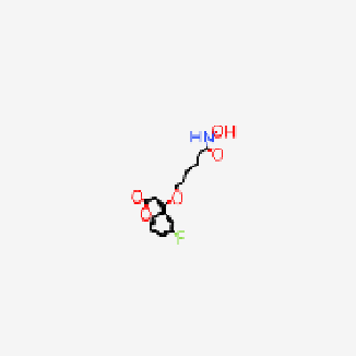 O=C(CCCCCOc1cc(=O)oc2ccc(F)cc12)NO